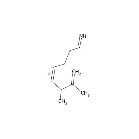 C=C(C)C(C)/C=C\CCC=N